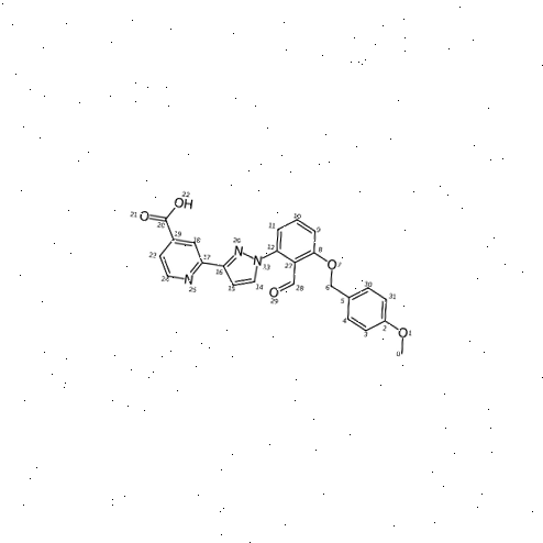 COc1ccc(COc2cccc(-n3ccc(-c4cc(C(=O)O)ccn4)n3)c2C=O)cc1